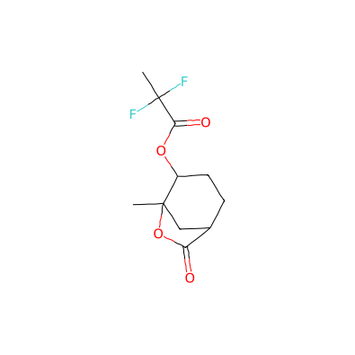 CC(F)(F)C(=O)OC1CCC2CC1(C)OC2=O